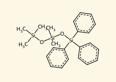 C[Si](C)(C)O[Si](C)(C)O[Si](c1ccccc1)(c1ccccc1)c1ccccc1